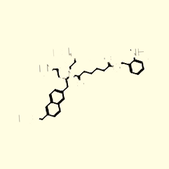 CCCN(C(=O)CCCCC(=O)OCc1ccccc1N)[C@H](CC(N)=O)Cc1ccc2cc(CC)ccc2c1.Cl